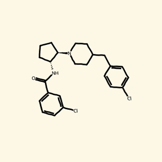 O=C(N[C@@H]1CCC[C@H]1N1CCC(Cc2ccc(Cl)cc2)CC1)c1cccc(Cl)c1